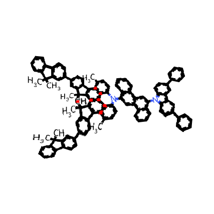 Cc1ccc(N(c2ccc(C)cc2-c2ccc3c(c2)C(C)(C)c2cc(-c4ccc5c(c4)C(C)(C)c4ccccc4-5)ccc2-3)c2cc3c4ccccc4c(-n4c5ccc(-c6ccccc6)cc5c5cc(-c6ccccc6)ccc54)cc3c3ccccc23)c(-c2ccc3c(c2)C(C)(C)c2cc(-c4ccc5c(c4)C(C)(C)c4ccccc4-5)ccc2-3)c1